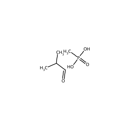 CC(C)C=O.CP(=O)(O)O